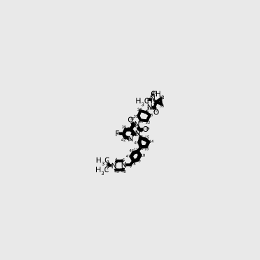 CC(C)N1CCN(Cc2ccc(-c3cccc(-n4c(=O)n([C@H]5CC[C@@H](NC(=O)C6(N(C)C)CC6)CC5)c(=O)c5cc(F)cnc54)c3)cc2)CC1